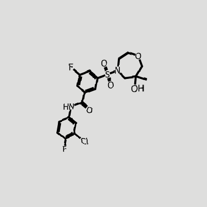 CC1(O)COCCN(S(=O)(=O)c2cc(F)cc(C(=O)Nc3ccc(F)c(Cl)c3)c2)C1